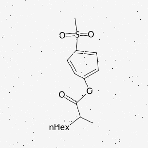 CCCCCCC(C)C(=O)Oc1ccc(S(C)(=O)=O)cc1